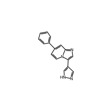 c1ccc(-c2ccn3c(-c4cn[nH]c4)cnc3c2)cc1